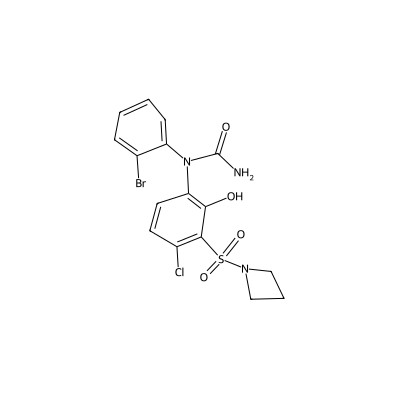 NC(=O)N(c1ccccc1Br)c1ccc(Cl)c(S(=O)(=O)N2CCC2)c1O